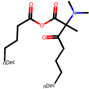 CCCCCCCCCCCCCC(=O)OC(=O)C(C)(C(=O)CCCCCCCCCCCCC)N(C)C